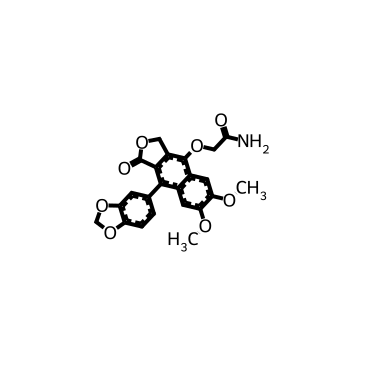 COc1cc2c(OCC(N)=O)c3c(c(-c4ccc5c(c4)OCO5)c2cc1OC)C(=O)OC3